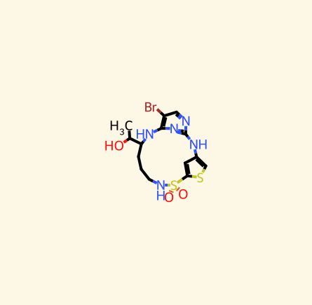 CC(O)C1CCCNS(=O)(=O)c2cc(cs2)Nc2ncc(Br)c(n2)N1